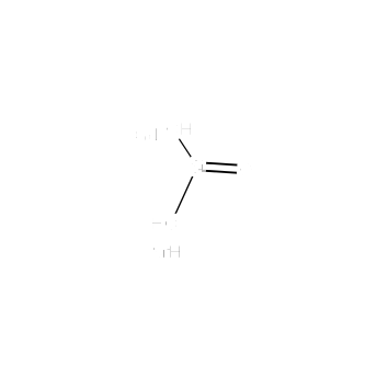 O=[Si](O)O.[Gd].[SrH2]